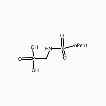 CCCCCS(=O)(=O)NCP(=O)(O)O